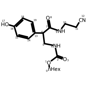 CCCCCCOC(=O)NCC(C(=O)NCCC#N)c1ccc(O)cc1